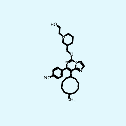 CC1CCCCC(c2c(-c3ccc(C#N)cc3)nc(OCC3CCCN(CCO)C3)n3ccnc23)CCCC1